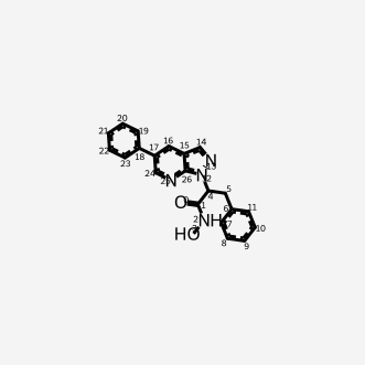 O=C(NO)C(Cc1ccccc1)n1ncc2cc(-c3ccccc3)cnc21